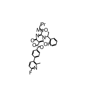 COCC(c1ccccc1)n1c(CCC(C)C)nc(=O)c(S(=O)(=O)c2ccc(-c3ccc(F)nc3C)cc2)c1O